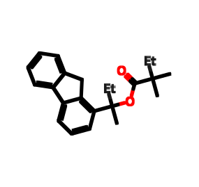 CCC(C)(C)C(=O)OC(C)(CC)c1cccc2c1Cc1ccccc1-2